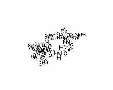 CCOCCOCC(=O)NCC(=O)N[C@H](C(=O)N[C@@H](CC(=O)NN=N)C(=O)N[C@@H](C)C(=O)N[C@H](C=O)COC(=O)[C@H](Cc1ccccc1)N(N)C(=O)[C@H](CC(C)C)N(N)C(=O)[C@H](CN=O)N(N)C(=O)CCN=O)C(C)C